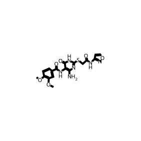 COc1ccc(C(=O)Nc2c(N)nc(SCC(=O)Nc3ccon3)[nH]c2=O)cc1OC